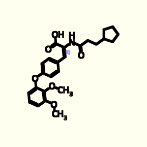 COc1cccc(Oc2ccc(/C=C(/NC(=O)CCC3CCCC3)C(=O)O)cc2)c1OC